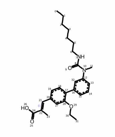 CCCCCCCNC(=O)N(C)c1cccc(-c2ccc(/C=C(\C)C(=O)O)cc2OCC)c1